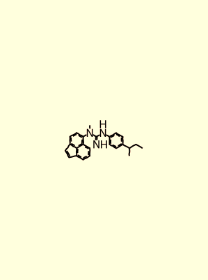 CCC(C)c1ccc(NC(=N)N(C)c2ccc3c4c(cccc24)C=C3)cc1